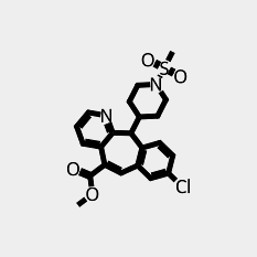 COC(=O)C1=Cc2cc(Cl)ccc2C(C2CCN(S(C)(=O)=O)CC2)c2ncccc21